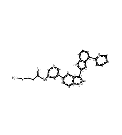 C=C(CCCC)Nc1cncc(-c2ccc3[nH]nc(-c4nc5c(-c6ccccn6)cccc5[nH]4)c3n2)c1